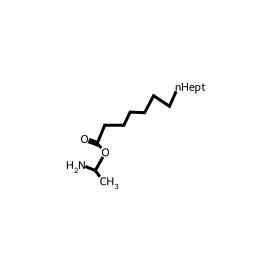 CCCCCCCCCCCCCC(=O)OC(C)N